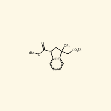 CCOC(=O)CC1(C)CN(C(=O)OC(C)(C)C)c2ncccc21